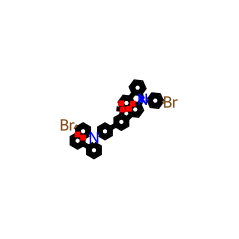 CC1(C)c2cc(-c3ccc(N(c4ccc(Br)cc4)c4ccccc4-c4ccccc4)cc3)ccc2-c2ccc(N(c3ccc(Br)cc3)c3ccccc3-c3ccccc3)cc21